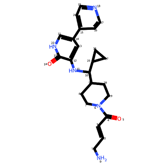 NC/C=C/C(=O)N1CCC(C(Nc2cc(-c3ccncc3)c[nH]c2=O)C2CC2)CC1